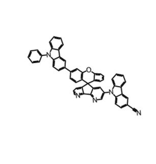 N#Cc1ccc2c(c1)c1ccccc1n2-c1cnc2c(c1)C1(c3ccccc3Oc3cc(-c4ccc5c(c4)c4ccccc4n5-c4ccccc4)ccc31)c1cccnc1-2